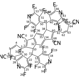 N#CC1=C(c2ccc(C#N)cc2)C(C(c2c(F)c(F)nc(F)c2F)c2c(F)c(F)nc(F)c2F)c2cc3c(cc21)C(C(c1c(F)c(F)nc(F)c1F)c1c(F)c(F)nc(F)c1F)C(c1ccc(C#N)cc1)=C3C#N